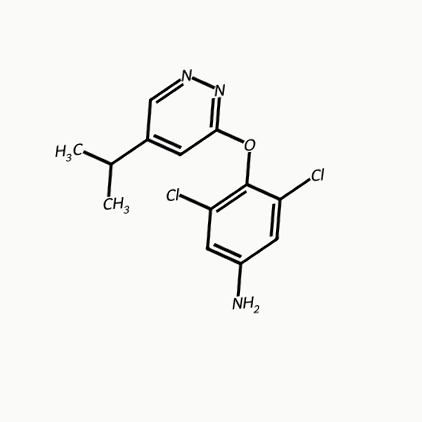 CC(C)c1cnnc(Oc2c(Cl)cc(N)cc2Cl)c1